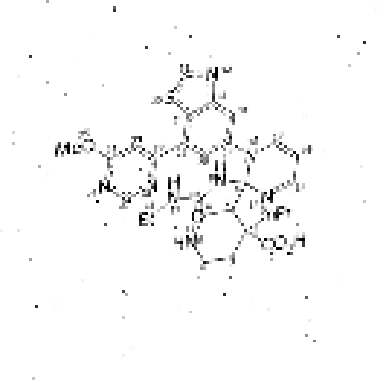 CCCC1(C(=O)O)CCNCC1C1(NC(=O)NCC)N=CC=CN1c1cc(-c2cc(OC)ncn2)c2scnc2c1